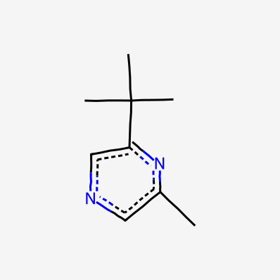 Cc1cncc(C(C)(C)C)n1